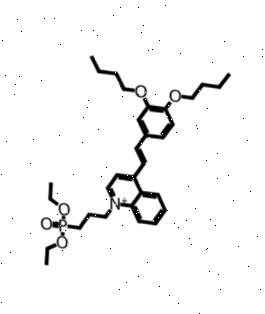 CCCCOc1ccc(C=Cc2cc[n+](CCCP(=O)(OCC)OCC)c3ccccc23)cc1OCCCC